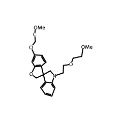 COCCOCCN1CC2(COc3cc(OCCOC)ccc32)c2ccccc21